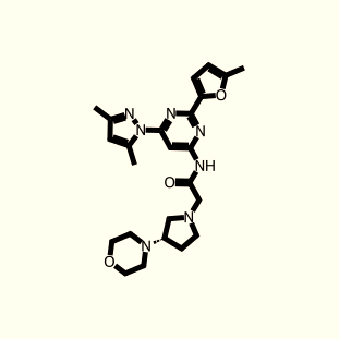 Cc1cc(C)n(-c2cc(NC(=O)CN3CC[C@H](N4CCOCC4)C3)nc(-c3ccc(C)o3)n2)n1